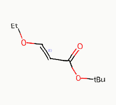 CCO/C=C/C(=O)OC(C)(C)C